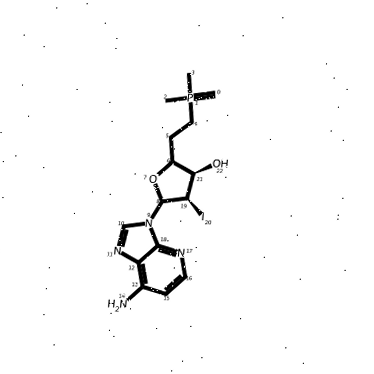 C=P(C)(C)CCC1OC(n2cnc3c(N)ccnc32)[C@H](I)[C@@H]1O